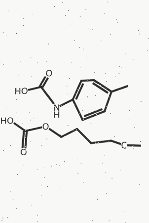 CCCCCCOC(=O)O.Cc1ccc(NC(=O)O)cc1